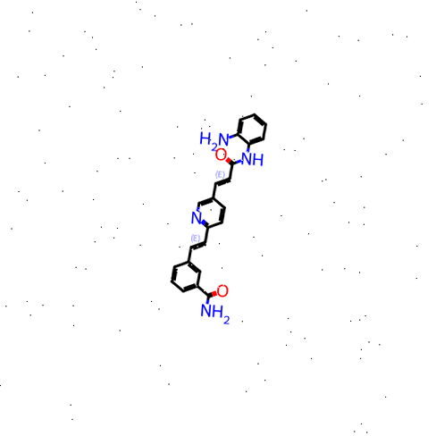 NC(=O)c1cccc(/C=C/c2ccc(/C=C/C(=O)Nc3ccccc3N)cn2)c1